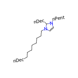 CCCCCCCCCCCCCCCCCCN1C=CN(CCCCC)C1CCCCCCCCCC